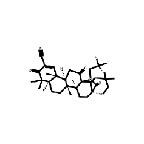 CC1(C)CC[C@]23CC[C@]4(C)C(C(=O)C[C@@H]5[C@@]6(C)C=C(C#N)C(=O)C(C)(C)[C@@H]6CC[C@]54C)(C2C1)N(CC(F)(F)F)C3=O